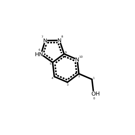 OCc1ccc2[nH]nnc2n1